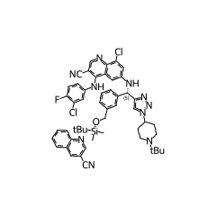 CC(C)(C)N1CCC(n2cc([C@@H](Nc3cc(Cl)c4ncc(C#N)c(Nc5ccc(F)c(Cl)c5)c4c3)c3cccc(CO[Si](C)(C)C(C)(C)C)c3)nn2)CC1.N#Cc1cnc2ccccc2c1